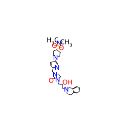 CN(C)S(=O)(=O)C1CCN(c2ccc(CN3CCN(C[C@H](O)CN4CCc5ccccc5C4)C3=O)nc2)CC1